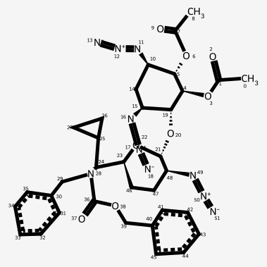 CC(=O)O[C@@H]1[C@@H](OC(C)=O)[C@H](N=[N+]=[N-])C[C@H](N=[N+]=[N-])[C@H]1O[C@H]1O[C@H]([C@H](C2CC2)N(Cc2ccccc2)C(=O)OCc2ccccc2)CC[C@@H]1N=[N+]=[N-]